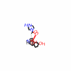 CN1CC[C@]23CC(=O)[C@@H](CC(=O)N4CCNCC4)C[C@@]2(O)[C@H]1Cc1ccc(O)cc13